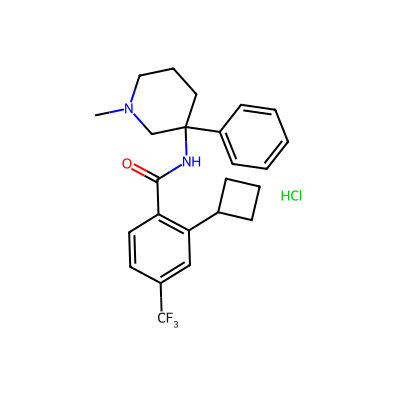 CN1CCCC(NC(=O)c2ccc(C(F)(F)F)cc2C2CCC2)(c2ccccc2)C1.Cl